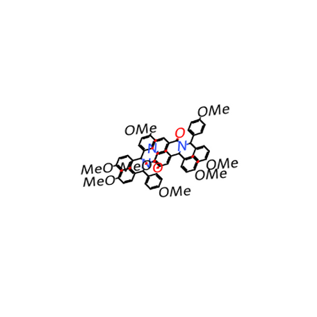 COc1ccc(C(c2ccc(OC)cc2)N(C(=O)c2ccnc(C(=O)N(C(c3ccc(OC)cc3)c3ccc(OC)cc3)C(c3ccc(OC)cc3)c3ccc(OC)cc3)c2)C(c2ccc(OC)cc2)c2ccc(OC)cc2)cc1